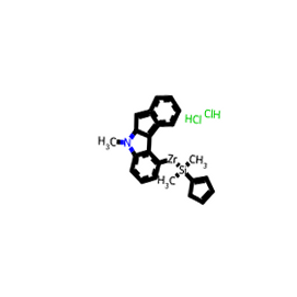 CN1c2ccc[c]([Zr][Si](C)(C)C3=CC=CC3)c2C2=c3ccccc3=CC21.Cl.Cl